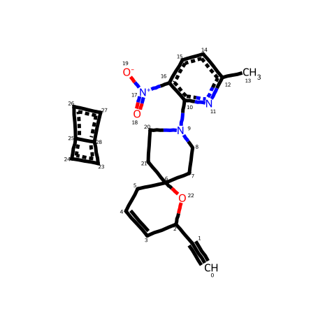 C#CC1C=CCC2(CCN(c3nc(C)ccc3[N+](=O)[O-])CC2)O1.c1cc2ccc1-2